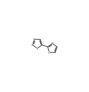 [c]1nnsc1-c1ncco1